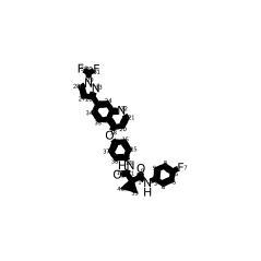 O=C(Nc1ccc(F)cc1)C1(C(=O)Nc2ccc(Oc3ccnc4cc(-c5ccn(C(F)F)n5)ccc34)cc2)CC1